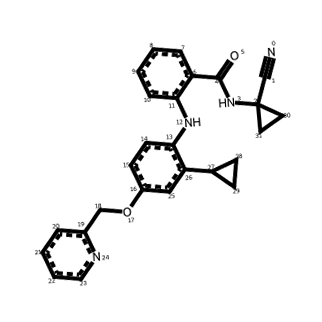 N#CC1(NC(=O)c2ccccc2Nc2ccc(OCc3ccccn3)cc2C2CC2)CC1